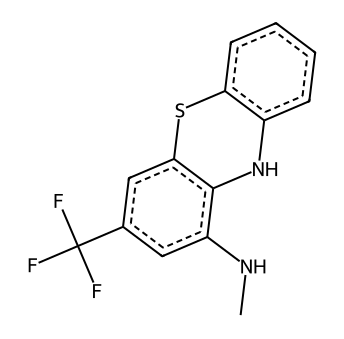 CNc1cc(C(F)(F)F)cc2c1Nc1ccccc1S2